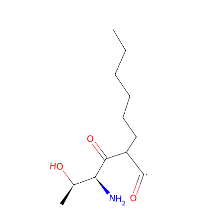 CCCCCCC([C]=O)C(=O)[C@@H](N)[C@@H](C)O